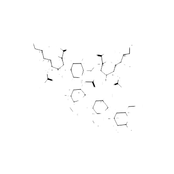 CC(=O)N[C@H]1[C@H](O[C@H]2[C@@H](O)[C@@H](CO)O[C@@H](O[C@H]3[C@H](O)[C@@H](O)C(O)O[C@@H]3CO)[C@@H]2O)O[C@H](CO)[C@@H](O)[C@@H]1O[C@@H]1O[C@H](CO[C@]2(C(=O)O)C[C@H](O)[C@@H](NC(C)=O)[C@H]([C@H](O)[C@H](O)CO)O2)[C@H](O)[C@H](O[C@]2(C(=O)O)C[C@H](O)[C@@H](NC(C)=O)[C@H]([C@H](O)[C@H](O)CO)O2)[C@H]1O